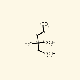 CC(CCC(=O)O)(CC(=O)O)C(=O)O